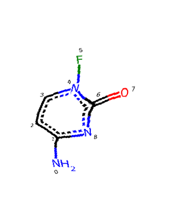 Nc1ccn(F)c(=O)n1